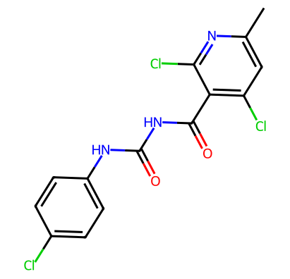 Cc1cc(Cl)c(C(=O)NC(=O)Nc2ccc(Cl)cc2)c(Cl)n1